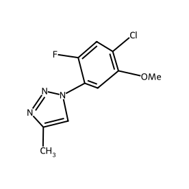 COc1cc(-n2cc(C)nn2)c(F)cc1Cl